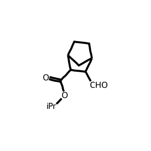 CC(C)OC(=O)C1C2CCC(C2)C1C=O